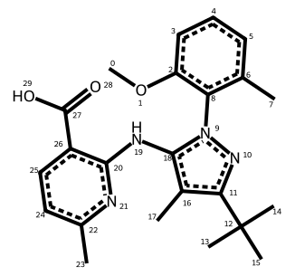 COc1cccc(C)c1-n1nc(C(C)(C)C)c(C)c1Nc1nc(C)ccc1C(=O)O